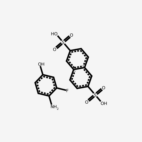 Nc1ccc(O)cc1F.O=S(=O)(O)c1ccc2cc(S(=O)(=O)O)ccc2c1